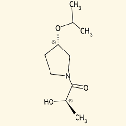 CC(C)O[C@H]1CCN(C(=O)[C@@H](C)O)C1